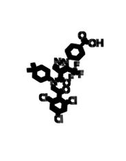 CC1(C)CCC(N(CC(=O)c2c(Cl)cc(Cl)cc2Cl)C(=O)c2cnn([C@H]3CC[C@H](C(=O)O)CC3)c2C(F)(F)F)CC1